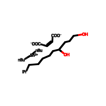 CC(C)CCCCCC(O)CCCO.CCC[CH2][Sn+2][CH2]CCC.O=C([O-])/C=C\C(=O)[O-]